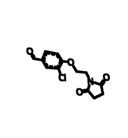 O=Cc1ccc(OCCN2C(=O)CCC2=O)c(Cl)c1